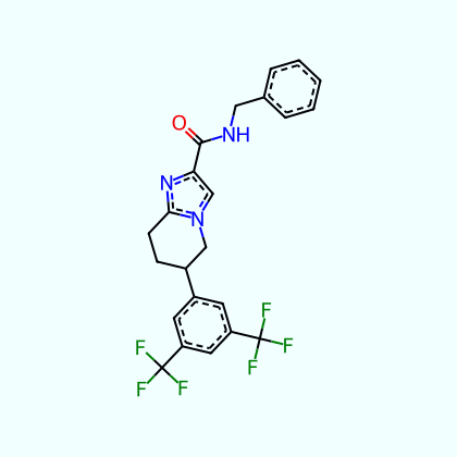 O=C(NCc1ccccc1)c1cn2c(n1)CCC(c1cc(C(F)(F)F)cc(C(F)(F)F)c1)C2